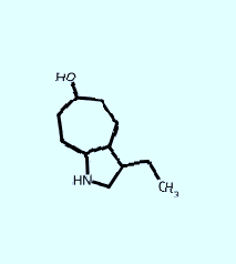 CCC1CNC2CCC(O)CCC12